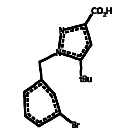 CC(C)(C)c1cc(C(=O)O)nn1Cc1cccc(Br)c1